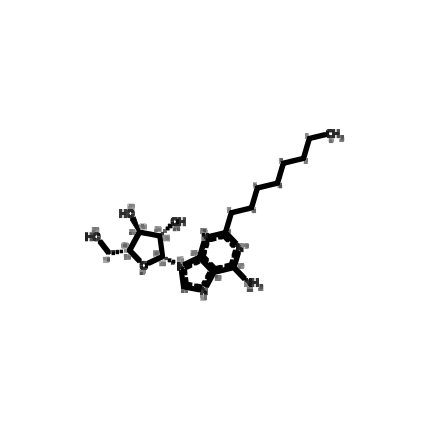 CCCCCCCCc1nc(N)c2ncn([C@@H]3O[C@H](CO)[C@@H](O)[C@@H]3O)c2n1